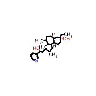 CC[C@]1(O)CC[C@@H]2C(C[C@H](C)CCC(O)c3cccnc3)[C@H](C)C(C)CC[C@H]2C1